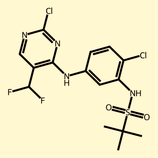 CC(C)(C)S(=O)(=O)Nc1cc(Nc2nc(Cl)ncc2C(F)F)ccc1Cl